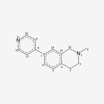 CN1CCc2ccc(-c3ccncc3)cc2C1